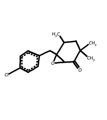 CC1CC(C)(C)C(=O)C2OC12Cc1ccc(Cl)cc1